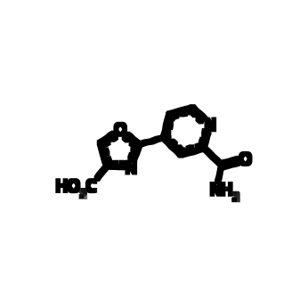 NC(=O)c1cc(-c2nc(C(=O)O)co2)ccn1